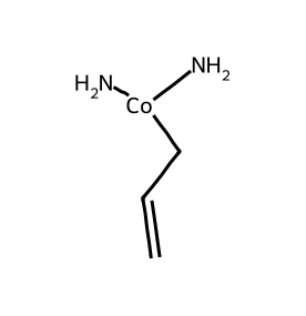 C=C[CH2][Co]([NH2])[NH2]